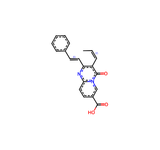 C/C=C\c1c(/C=C/c2ccccc2)nc2ccc(C(=O)O)cn2c1=O